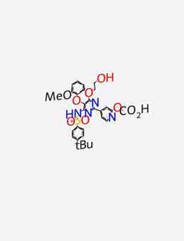 COc1ccccc1Oc1c(NS(=O)(=O)c2ccc(C(C)(C)C)cc2)nc(-c2ccnc(OC(=O)O)c2)nc1OCCO